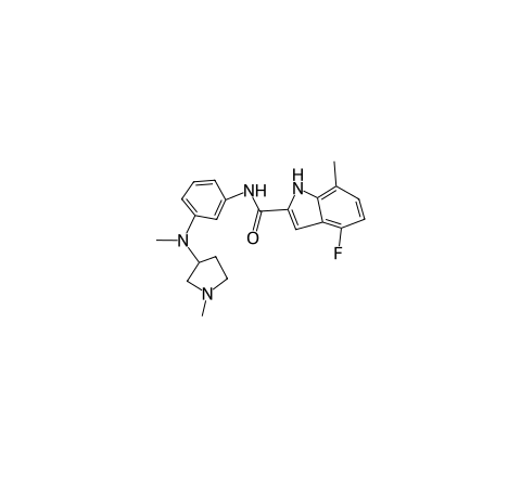 Cc1ccc(F)c2cc(C(=O)Nc3cccc(N(C)C4CCN(C)C4)c3)[nH]c12